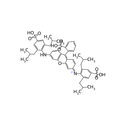 CC(C)Cc1cc(S(=O)(=O)O)cc(CC(C)C)c1/N=c1\ccc2c(-c3ccccc3S(=O)(=O)O)c3ccc(Nc4c(CC(C)C)cc(S(=O)(=O)O)cc4CC(C)C)cc3oc-2c1